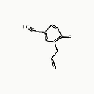 C#Cc1ccc(F)c(CC=O)c1